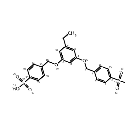 CCc1cc(OCc2ccc(S(=O)(=O)O)cc2)cc(OCc2ccc(S(=O)(=O)O)cc2)c1